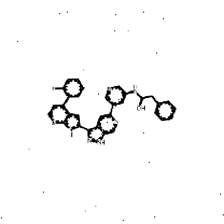 OC(Cc1ccccc1)Nc1cncc(-c2cc3c(-c4cc5c(-c6ccccc6F)ccnc5[nH]4)n[nH]c3cn2)c1